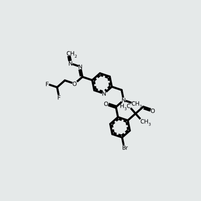 C=N/N=C(\OCC(F)F)c1ccc(CN(C)C(=O)c2ccc(Br)cc2C(C)(C)C=O)nc1